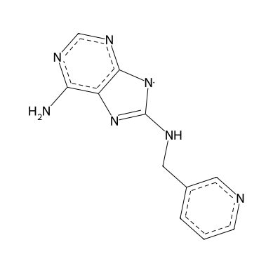 Nc1ncnc2c1N=C(NCc1cccnc1)[N]2